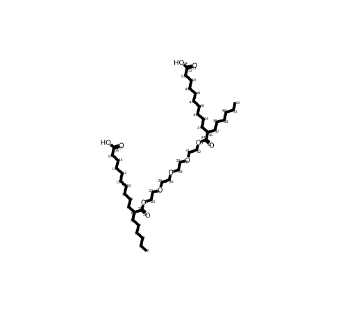 CCCCCCC(CCCCCCCCCC(=O)O)C(=O)OCCOCCOCCOCCOC(=O)C(CCCCCC)CCCCCCCCCC(=O)O